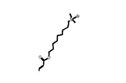 CC=CC(=O)OCCCCCCCCC[Si](C)(C)Br